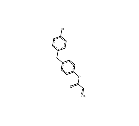 C=CC(=O)Oc1ccc(Cc2ccc(O)cc2)cc1